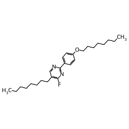 CCCCCCCCOc1ccc(-c2ncc(CCCCCCCC)c(F)n2)cc1